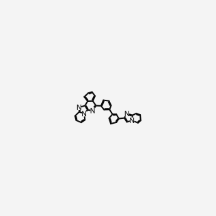 c1cc(-c2cccc(-c3nc4c(nc5ccccn54)c4ccccc34)c2)cc(-c2cn3ccccc3n2)c1